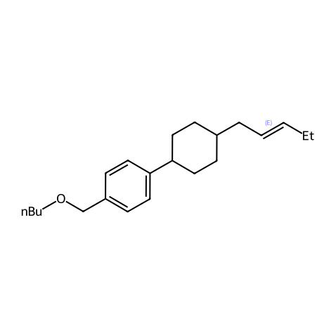 CC/C=C/CC1CCC(c2ccc(COCCCC)cc2)CC1